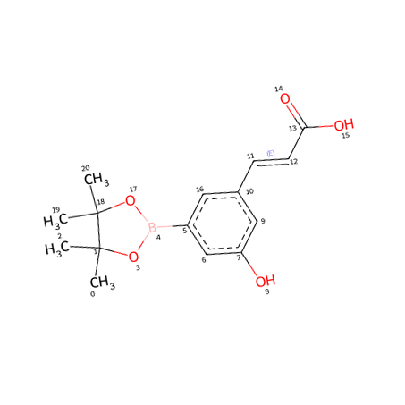 CC1(C)OB(c2cc(O)cc(/C=C/C(=O)O)c2)OC1(C)C